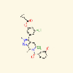 COc1cccc(C(=O)N2CCc3c(nn(C)c3-c3cc(Cl)cc(OC(=O)C4CC4)c3)C2C)c1Cl